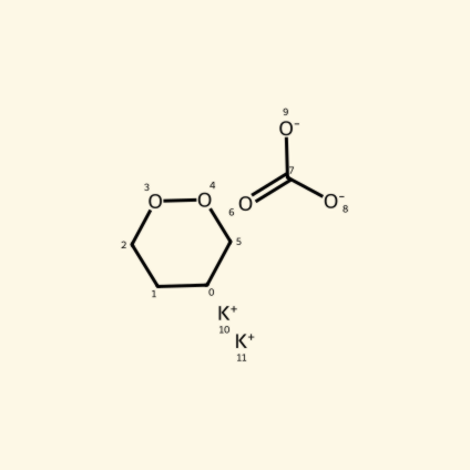 C1CCOOC1.O=C([O-])[O-].[K+].[K+]